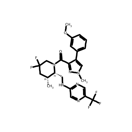 COc1cccc(-c2cn(C)nc2C(=O)N2CC(F)(F)C[C@@H](C)[C@H]2CNc2cnc(C(F)(F)F)cn2)c1